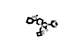 CN[C@]1(c2ccccc2)CC[C@]2(CC1)CN(c1cncnc1)C(=O)N2CC1(O)CCC1